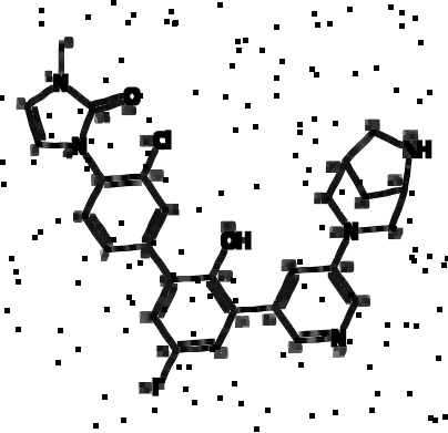 Cn1ccn(-c2ccc(-c3cc(F)cc(-c4cncc(N5CC6CNC(C6)C5)c4)c3O)cc2Cl)c1=O